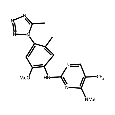 CNc1nc(Nc2cc(C)c(-n3nnnc3C)cc2OC)ncc1C(F)(F)F